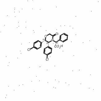 O=C(O)[C@@H](c1ccccc1)N1C(=O)CO[C@@H](c2ccc(Cl)cc2)[C@H]1c1ccc(Cl)cc1